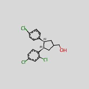 OCC1C[C@H](c2ccc(Cl)cc2)[C@H](c2ccc(Cl)cc2Cl)C1